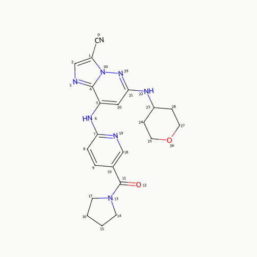 N#Cc1cnc2c(Nc3ccc(C(=O)N4CCCC4)cn3)cc(NC3CCOCC3)nn12